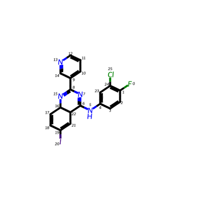 Fc1ccc(NC2=NC(c3cccnc3)=NC3C=CC(I)=CC23)cc1Cl